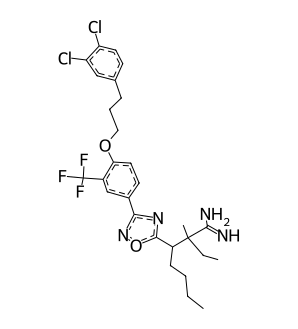 CCCCC(c1nc(-c2ccc(OCCCc3ccc(Cl)c(Cl)c3)c(C(F)(F)F)c2)no1)C(C)(CC)C(=N)N